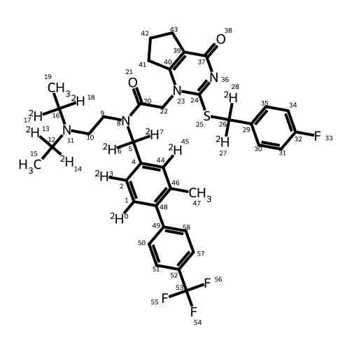 [2H]c1c([2H])c(C([2H])([2H])N(CCN(C([2H])([2H])C)C([2H])([2H])C)C(=O)Cn2c(SC([2H])([2H])c3ccc(F)cc3)nc(=O)c3c2CCC3)c([2H])c(C)c1-c1ccc(C(F)(F)F)cc1